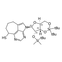 CC(C)(C)[Si](C)(C)O[C@H]1[C@H]2O[Si](C(C)(C)C)(C(C)(C)C)OC[C@@H]2O[C@@H]1n1cc2c3c(ncnc31)C(S)CCC2